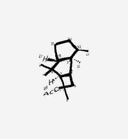 CC(=O)OC1(C)CC2[C@@H]1C(C)(C)[C@@H]1CC[C@@H](C)[C@@]21C